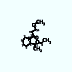 C=C(OCC)C1CCCCN1C(=O)CCOC